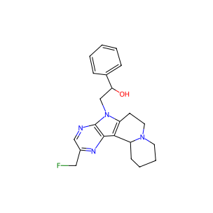 OC(Cn1c2c(c3nc(CF)cnc31)C1CCCCN1CC2)c1ccccc1